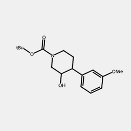 COc1cccc(C2CCN(C(=O)OC(C)(C)C)CC2O)c1